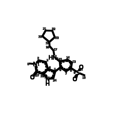 Cn1ccc2c(-c3cc(S(C)(=O)=O)ccc3NCCC3CCCC3)c[nH]c2c1=O